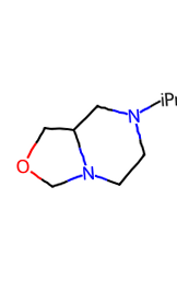 CC(C)N1CCN2COCC2C1